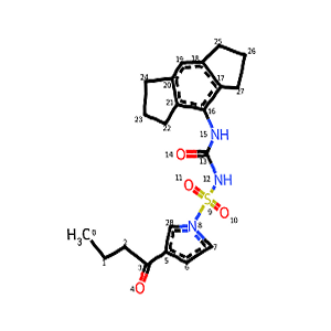 CCCC(=O)c1ccn(S(=O)(=O)NC(=O)Nc2c3c(cc4c2CCC4)CCC3)c1